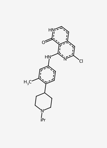 Cc1cc(Nc2nc(Cl)cc3cc[nH]c(=O)c23)ccc1C1CCN(C(C)C)CC1